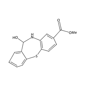 COC(=O)c1ccc2c(c1)NC(O)c1ccccc1S2